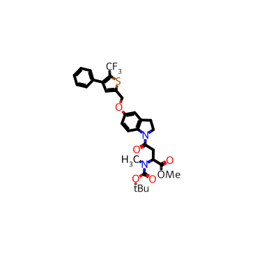 COC(=O)C(CC(=O)N1CCc2cc(OCc3cc(-c4ccccc4)c(C(F)(F)F)s3)ccc21)N(C)C(=O)OC(C)(C)C